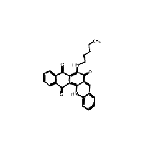 CCCCCNc1c2c(c3[nH]c4ccccc4cc-3c1=O)C(=O)c1ccccc1C2=O